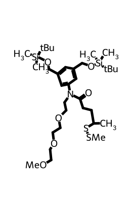 COCCOCCOCCN(C(=O)CCC(C)SSC)c1cc(CO[Si](C)(C)C(C)(C)C)cc(CO[Si](C)(C)C(C)(C)C)c1